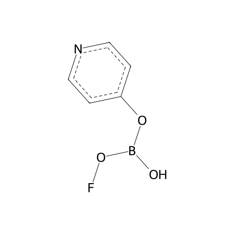 OB(OF)Oc1ccncc1